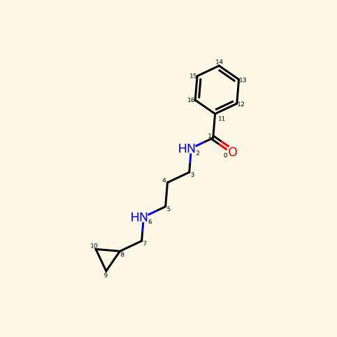 O=C(NCCCNCC1CC1)c1ccccc1